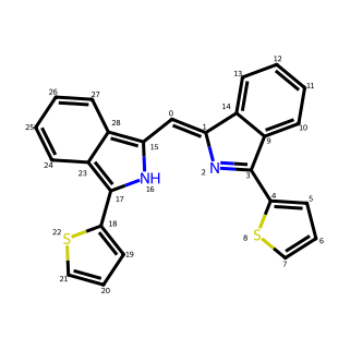 C(=C1/N=C(c2cccs2)c2ccccc21)/c1[nH]c(-c2cccs2)c2ccccc12